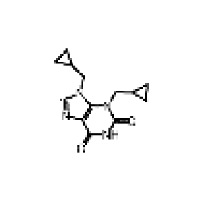 O=c1[nH]c(=O)n(CC2CC2)c2c1n[c]n2CC1CC1